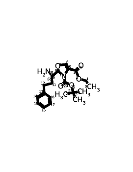 CCOC(=O)C1=COC([C@H](N)CCc2ccccc2)N1C(=O)OC(C)(C)C